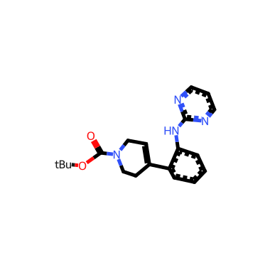 CC(C)(C)OC(=O)N1CC=C(c2ccccc2Nc2ncccn2)CC1